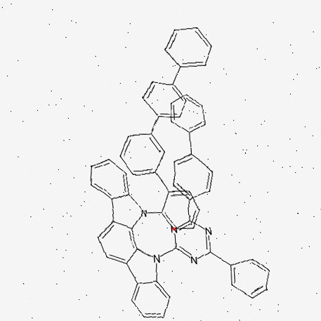 c1ccc(-c2ccc(-c3cccc(-c4ccccc4-n4c5ccccc5c5ccc6c7ccccc7n(-c7nc(-c8ccccc8)nc(-c8ccc(-c9ccccc9)cc8)n7)c6c54)c3)cc2)cc1